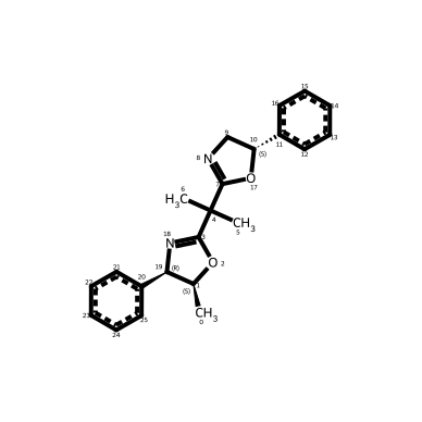 C[C@@H]1OC(C(C)(C)C2=NC[C@H](c3ccccc3)O2)=N[C@@H]1c1ccccc1